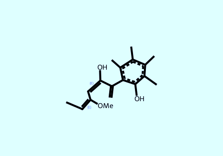 C=C(/C(O)=C\C(=C/C)OC)c1c(C)c(C)c(C)c(C)c1O